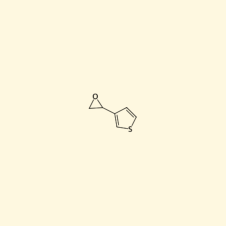 c1cc(C2CO2)cs1